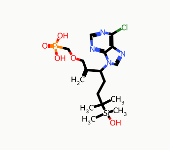 C=C(COCP(=O)(O)O)C(CCC(C)(C)[Si](C)(C)O)n1cnc2c(Cl)ncnc21